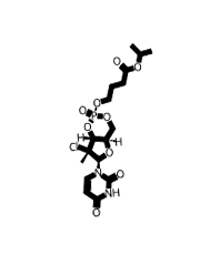 CC(C)OC(=O)CCCO[P@]1(=O)OC[C@H]2O[C@@H](n3ccc(=O)[nH]c3=O)[C@](C)(Cl)[C@@H]2O1